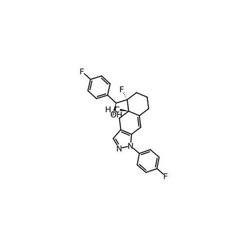 C[C@]12Cc3cnn(-c4ccc(F)cc4)c3C=C1CCC[C@]2(F)[C@@H](O)c1ccc(F)cc1